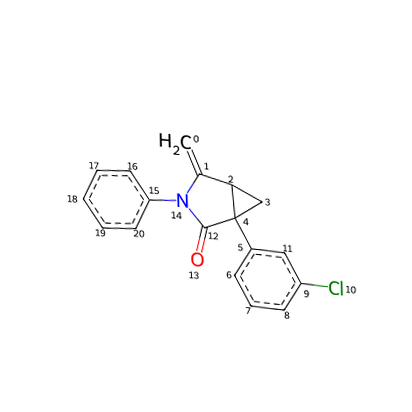 C=C1C2CC2(c2cccc(Cl)c2)C(=O)N1c1ccccc1